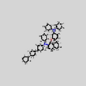 c1ccc(-c2ccc(-c3ccc(N(c4ccccc4)c4ccc5cccc6c5c4Oc4cc(N(c5ccccc5)c5ccccc5)ccc4-6)cc3)cc2)cc1